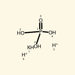 O=P(O)(O)O.[H+].[H+].[KH]